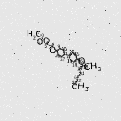 C=CC(=O)OCCOc1ccc(-c2ccc(OC(C)CCCCCC)cc2)cc1